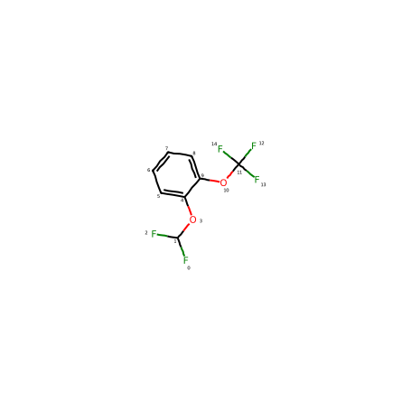 FC(F)Oc1ccccc1OC(F)(F)F